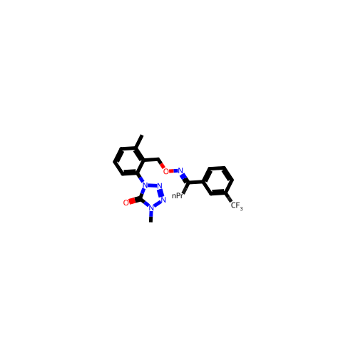 CCCC(=NOCc1c(C)cccc1-n1nnn(C)c1=O)c1cccc(C(F)(F)F)c1